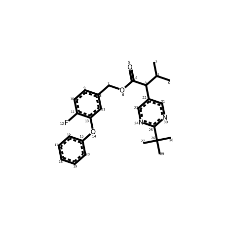 CC(C)C(C(=O)OCc1ccc(F)c(Oc2ccccc2)c1)c1cnc(C(C)(C)C)nc1